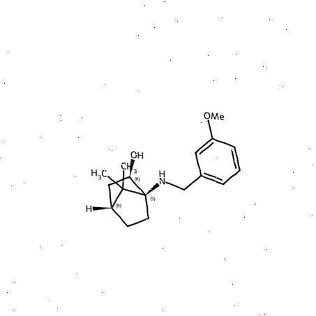 COc1cccc(CN[C@]23CC[C@H](C[C@H]2O)C3(C)C)c1